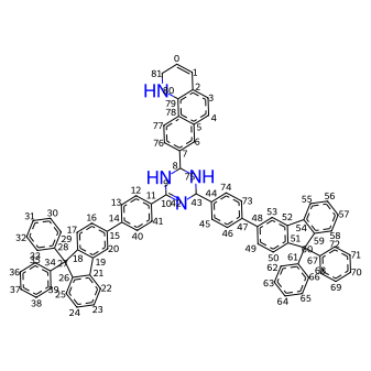 C1=Cc2ccc3cc(C4NC(c5ccc(-c6ccc7c(c6)-c6ccccc6C7(c6ccccc6)c6ccccc6)cc5)=NC(c5ccc(-c6ccc7c(c6)-c6ccccc6C7(c6ccccc6)c6ccccc6)cc5)N4)ccc3c2NC1